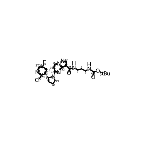 CC(C)(C)OC(=O)NCCCNC(=O)c1cnn2ccc(N3CCC[C@@H]3c3cc(F)cnc3Cl)nc12